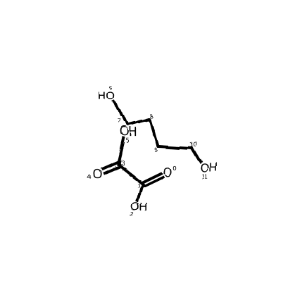 O=C(O)C(=O)O.OCCCCO